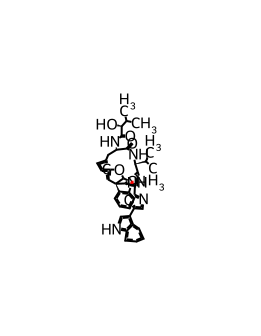 CC(C)[C@H](O)C(=O)N[C@H]1Cc2ccc3c(c2)[C@@]2(c4ccccc4NC2O3)c2oc(nc2-c2ncc(-c3c[nH]c4ccccc34)o2)[C@H](C(C)C)NC1=O